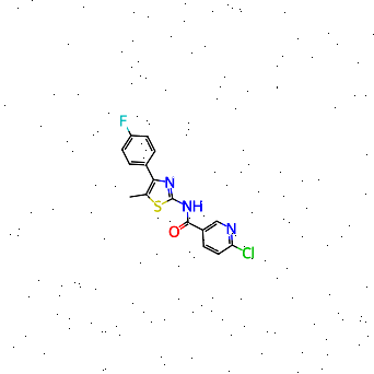 Cc1sc(NC(=O)c2ccc(Cl)nc2)nc1-c1ccc(F)cc1